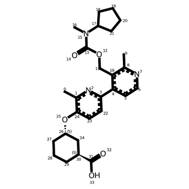 Cc1nc(-c2ccnc(C)c2COC(=O)N(C)C2CCCC2)ccc1O[C@H]1CCC[C@H](C(=O)O)C1